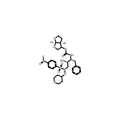 O=C(N[C@@H](Cc1ccccc1)[C@H](O)CN(OC1CCOCC1)S(=O)(=O)c1ccc([N+](=O)[O-])cc1)OC1CO[C@H]2OCC[C@@H]12